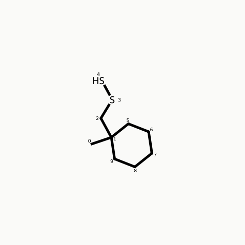 CC1(CSS)CCCCC1